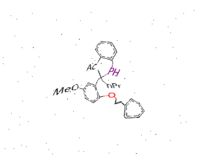 CCCC(C)(Pc1ccccc1C(C)=O)c1cc(OC)ccc1OCc1ccccc1